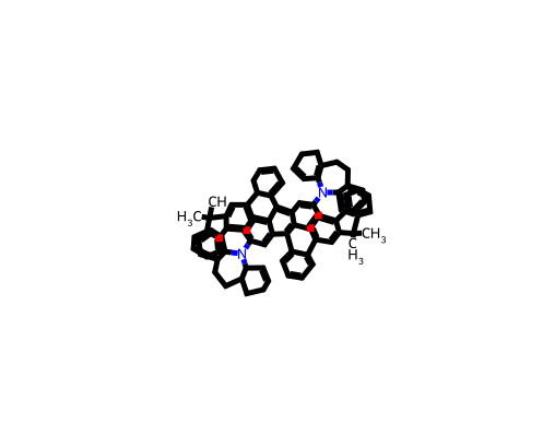 CC1(C)c2ccccc2-c2ccc(-c3ccccc3-c3c4ccc(N5C6=C(CCC=C6)CCc6ccccc65)cc4c(C4=CC=CCC4c4ccc5c(c4)C(C)(C)c4ccccc4-5)c4ccc(N5c6ccccc6CCC6CCC=CC65)cc34)cc21